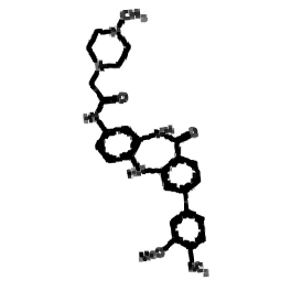 COc1cc(-c2ccc3c(c2)Nc2ccc(NC(=O)CN4CCN(C)CC4)cc2NC3=O)ccc1[N+](=O)[O-]